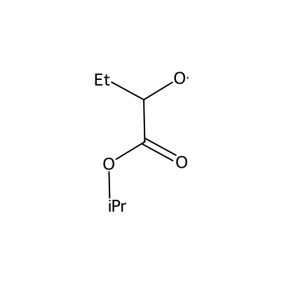 CCC([O])C(=O)OC(C)C